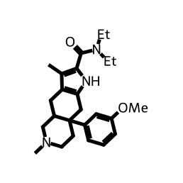 CCN(CC)C(=O)c1[nH]c2c(c1C)CC1CN(C)CCC1(c1cccc(OC)c1)C2